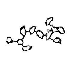 c1ccc(-c2cc(-c3ccccc3)cc(-c3cccc(-c4cccc(-c5cccc(-c6nc(-c7ccccc7)c7c8ccccc8n(-c8ccccc8)c7n6)c5)c4)c3)c2)cc1